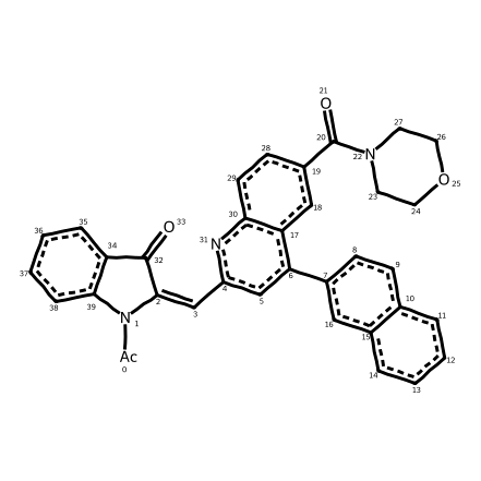 CC(=O)N1C(=Cc2cc(-c3ccc4ccccc4c3)c3cc(C(=O)N4CCOCC4)ccc3n2)C(=O)c2ccccc21